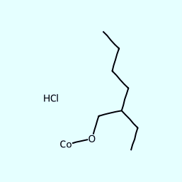 CCCCC(CC)C[O][Co].Cl